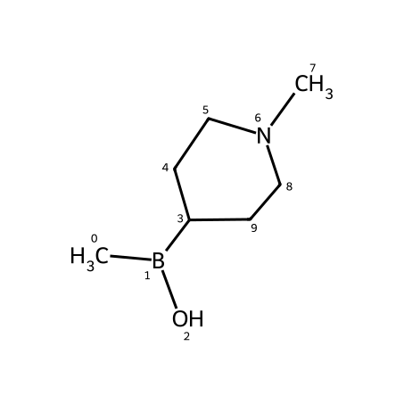 CB(O)C1CCN(C)CC1